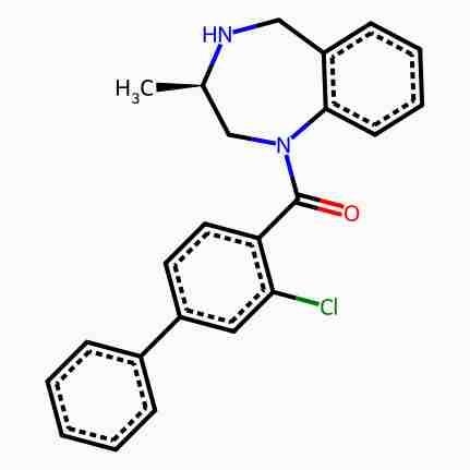 C[C@@H]1CN(C(=O)c2ccc(-c3ccccc3)cc2Cl)c2ccccc2CN1